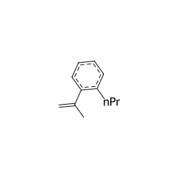 C=C(C)c1ccccc1CCC